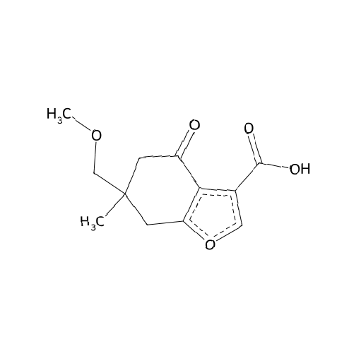 COCC1(C)CC(=O)c2c(C(=O)O)coc2C1